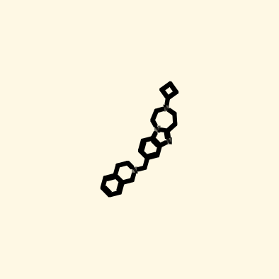 c1ccc2c(c1)CCN(Cc1ccc3c(c1)nc1n3CCN(C3CCC3)CC1)C2